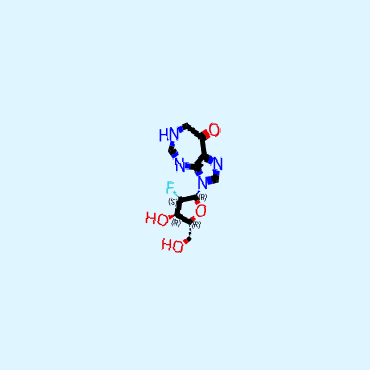 O=C1CNC=Nc2c1ncn2[C@@H]1O[C@H](CO)[C@@H](O)[C@@H]1F